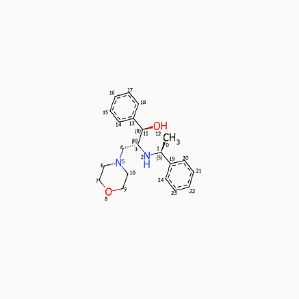 C[C@H](N[C@H](CN1CCOCC1)[C@H](O)c1ccccc1)c1ccccc1